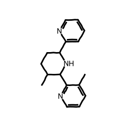 Cc1cccnc1C1NC(c2ccccn2)CCC1C